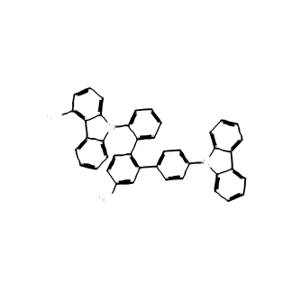 N#Cc1ccc(-c2ccccc2-n2c3ccccc3c3c(C#N)cccc32)c(-c2ccc(-n3c4ccccc4c4ccccc43)cc2)c1